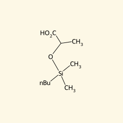 CCCC[Si](C)(C)OC(C)C(=O)O